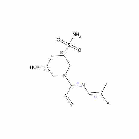 C=N/C(=N\C=C(/C)F)N1C[C@H](O)C[C@H](S(N)(=O)=O)C1